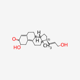 C[C@]12CCC3=C4CC(O)C(=O)C=C4CC[C@H]3[C@@H]1CC[C@H]2C=CCO